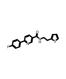 O=C(NCCc1cccs1)c1ccc(-c2ccc(F)cc2)nc1